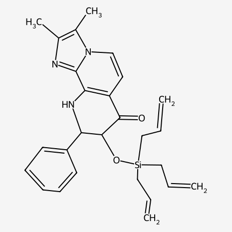 C=CC[Si](CC=C)(CC=C)OC1C(=O)c2ccn3c(C)c(C)nc3c2NC1c1ccccc1